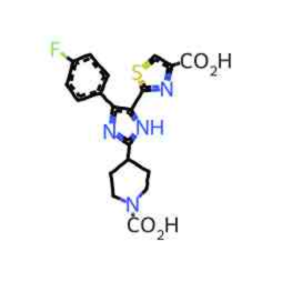 O=C(O)c1csc(-c2[nH]c(C3CCN(C(=O)O)CC3)nc2-c2ccc(F)cc2)n1